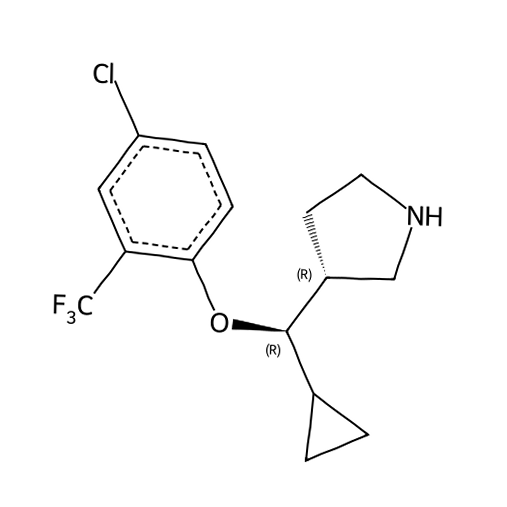 FC(F)(F)c1cc(Cl)ccc1O[C@H](C1CC1)[C@@H]1CCNC1